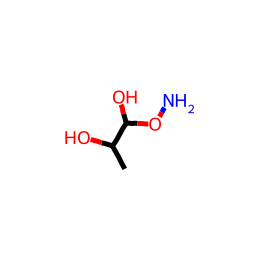 CC(O)C(O)ON